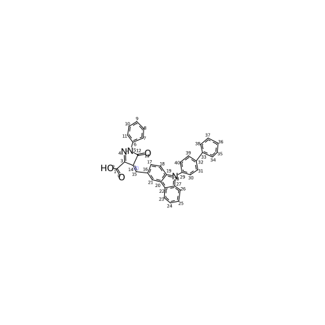 O=C(O)C1=NN(c2ccccc2)C(=O)/C1=C\c1ccc2c(c1)c1ccccc1n2-c1ccc(-c2ccccc2)cc1